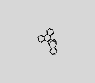 c1ccc2c(c1)-c1cccc3c1-c1c(c4ccccc4c4ccccc14)C23